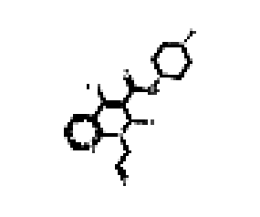 C[C@H]1CC[C@@H](NC(=O)C2=C(O)c3cccnc3N(CC=O)C2O)CC1